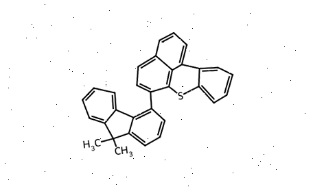 CC1(C)c2ccccc2-c2c(-c3ccc4cccc5c4c3Sc3ccccc3-5)cccc21